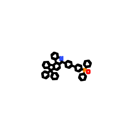 O=P(c1ccccc1)(c1ccccc1)c1ccc(-c2ccc(-c3nc4ccccc4c4c5c(ccc34)C(c3ccccc3)(c3ccccc3)c3ccccc3-5)cc2)cc1